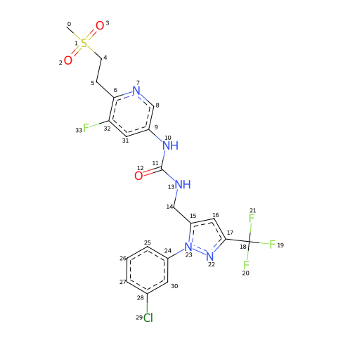 CS(=O)(=O)CCc1ncc(NC(=O)NCc2cc(C(F)(F)F)nn2-c2cccc(Cl)c2)cc1F